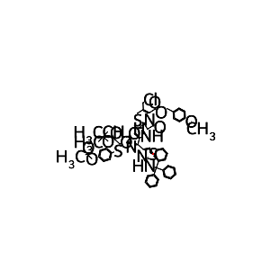 COc1ccc(COC(=O)C2=C(CCl)CS[C@H]3[C@H](NC(=O)/C(=N\O[C@H](Sc4ccc(OC(C)=O)cc4)C(=O)OC(C)(C)C)c4csc(NC(c5ccccc5)(c5ccccc5)c5ccccc5)n4)C(=O)N23)cc1